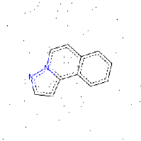 c1ccc2c(c1)ccn1nccc21